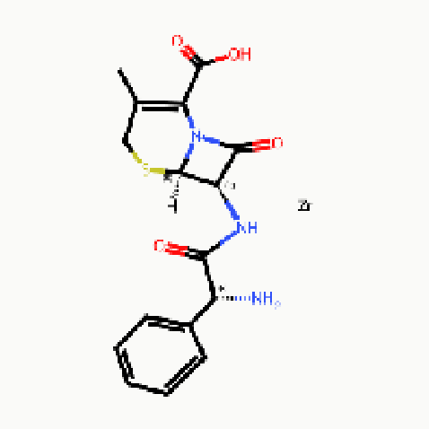 CC1=C(C(=O)O)N2C(=O)[C@@H](NC(=O)[C@H](N)c3ccccc3)[C@H]2SC1.[Zr]